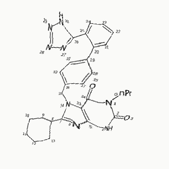 CCCn1c(=O)[nH]c2nc(C3CCCCC3)n(Cc3ccc(-c4ccccc4-c4nnn[nH]4)cc3)c2c1=O